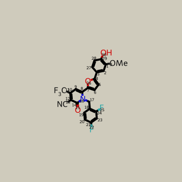 COc1cc(-c2ccc(-c3cc(C(F)(F)F)c(C#N)c(=O)n3Cc3ccc(F)cc3F)o2)ccc1O